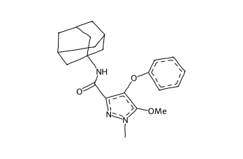 COc1c(Oc2ccccc2)c(C(=O)NC23CC4CC(CC(C4)C2)C3)nn1C